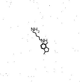 Cc1c(NCCCCCN)ccc2c1CCC2C